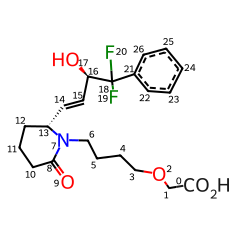 O=C(O)COCCCCN1C(=O)CCC[C@@H]1/C=C/[C@@H](O)C(F)(F)c1ccccc1